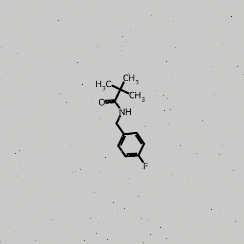 CC(C)(C)C(=O)NCc1ccc(F)cc1